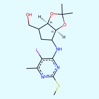 CSc1nc(C)c(I)c(NC2CC(CO)[C@H]3OC(C)(C)O[C@@H]23)n1